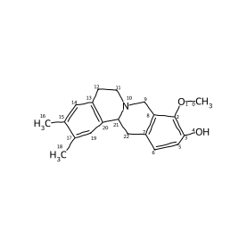 COc1c(O)ccc2c1CN1CCc3cc(C)c(C)cc3C1C2